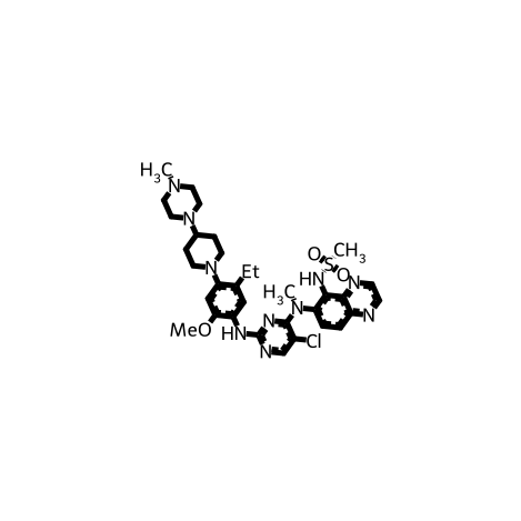 CCc1cc(Nc2ncc(Cl)c(N(C)c3ccc4nccnc4c3NS(C)(=O)=O)n2)c(OC)cc1N1CCC(N2CCN(C)CC2)CC1